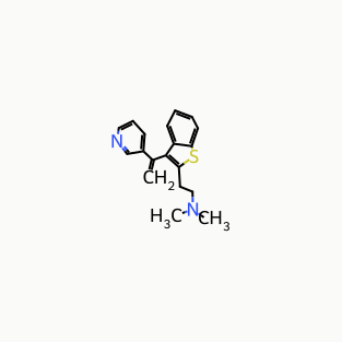 C=C(c1cccnc1)c1c(CCN(C)C)sc2ccccc12